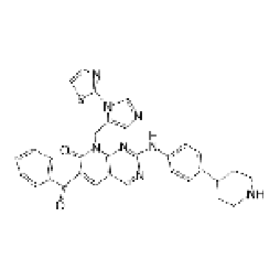 O=C(c1ccccc1)c1cc2cnc(Nc3ccc(C4CCNCC4)cc3)nc2n(Cc2cncn2-c2nccs2)c1=O